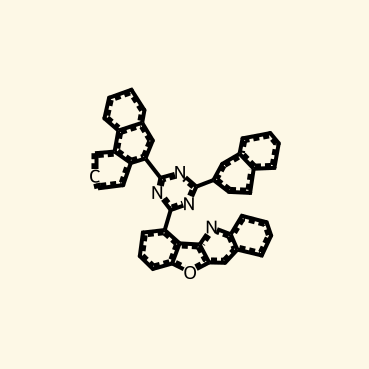 c1ccc2cc(-c3nc(-c4cc5ccccc5c5ccccc45)nc(-c4cccc5oc6cc7ccccc7nc6c45)n3)ccc2c1